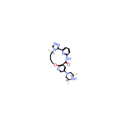 C[C@@H]1CN(c2cnc3c(c2)C(=O)Nc2cccc(n2)-c2nncn2[C@@H](C)CCCO3)C[C@H](C)N1